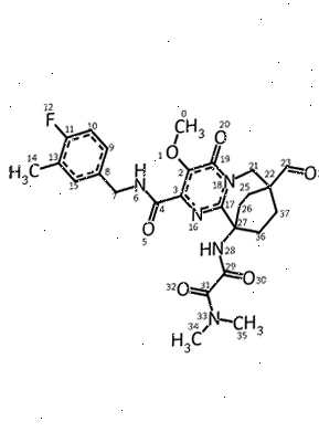 COc1c(C(=O)NCc2ccc(F)c(C)c2)nc2n(c1=O)CC1(C=O)CCC2(NC(=O)C(=O)N(C)C)CC1